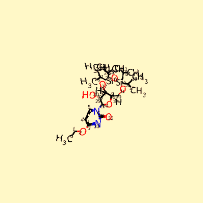 CCOc1ccn([C@@H]2O[C@@H]3CO[Si](C(C)C)(C(C)C)O[Si](C(C)C)(C(C)C)O[C@H]3[C@H]2O)c(=O)n1